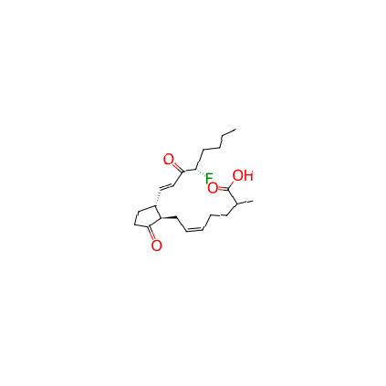 CCCC[C@H](F)C(=O)/C=C/[C@H]1CCC(=O)[C@@H]1C/C=C\CCC(C)C(=O)O